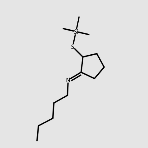 CCCCC/N=C1\CCCC1S[Si](C)(C)C